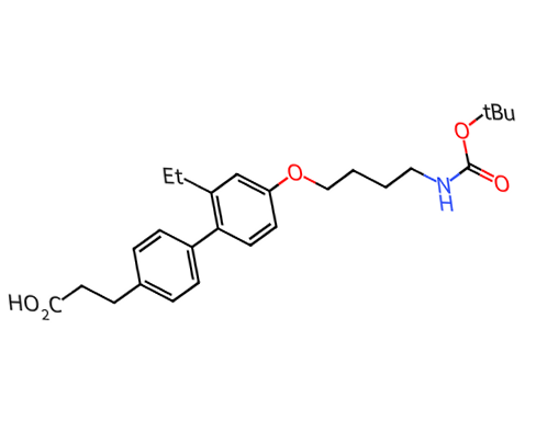 CCc1cc(OCCCCNC(=O)OC(C)(C)C)ccc1-c1ccc(CCC(=O)O)cc1